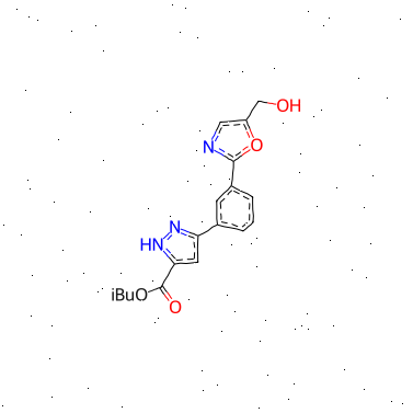 CC(C)COC(=O)c1cc(-c2cccc(-c3ncc(CO)o3)c2)n[nH]1